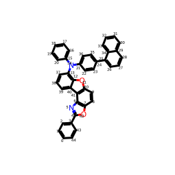 c1ccc(-c2nc3c(ccc4oc5c(N(c6ccccc6)c6ccc(-c7cccc8ccccc78)cc6)cccc5c43)o2)cc1